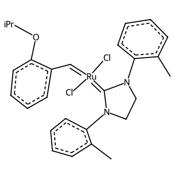 Cc1ccccc1N1CCN(c2ccccc2C)[C]1=[Ru]([Cl])([Cl])=[CH]c1ccccc1OC(C)C